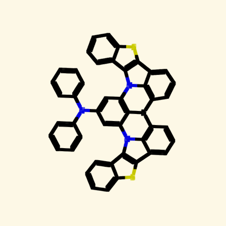 c1ccc(N(c2ccccc2)c2cc3c4c(c2)-n2c5c(cccc5c5sc6ccccc6c52)B4c2cccc4c5sc6ccccc6c5n-3c24)cc1